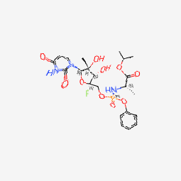 CC(C)OC(=O)[C@H](C)N[P@@](=O)(OC[C@@]1(F)O[C@@H](n2ccc(=O)[nH]c2=O)[C@](C)(O)[C@@H]1O)Oc1ccccc1